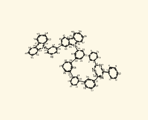 c1ccc(-c2nc(-c3ccccc3)nc(-c3cccc(-c4cccc(-c5cccc(-c6cccc(-n7c8ccccc8c8ccc(-c9cccc(-n%10c%11ccccc%11c%11ccccc%11%10)c9)cc87)c6)c5)c4)c3)n2)cc1